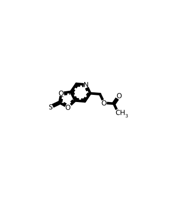 CC(=O)OCc1cc2oc(=S)oc2cn1